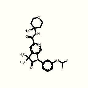 CC1(NC(=O)c2cc3c(cn2)N(c2cccc(OC(F)F)c2)C(=O)C3(C)C)CCOCC1